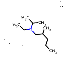 CCCC(C)CN(CC)C(C)C